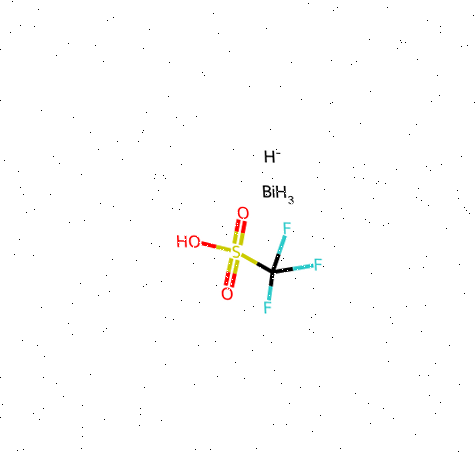 O=S(=O)(O)C(F)(F)F.[BiH3].[H-]